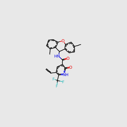 C=Cc1cc(C(=O)NC2c3ccc(C)cc3Oc3cccc(C)c32)c(=O)[nH]c1C(F)(F)F